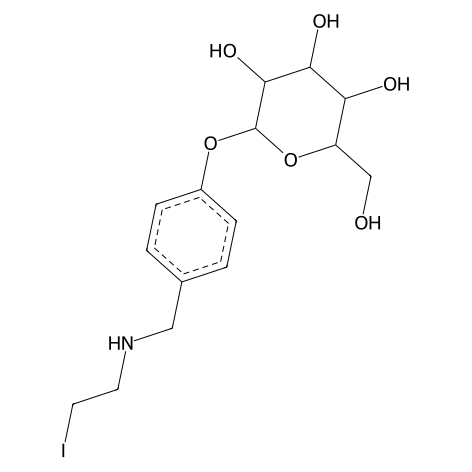 OCC1OC(Oc2ccc(CNCCI)cc2)C(O)C(O)C1O